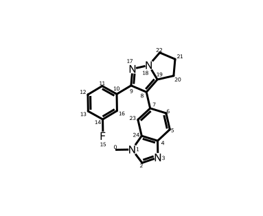 Cn1cnc2ccc(-c3c(-c4cccc(F)c4)nn4c3CCC4)cc21